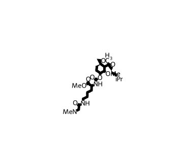 CNCC(=O)NCCCCC(NC(=O)OC1CC[C@]2(CO2)C(C2(C)O[C@@H]2CCC(C)C)C1OC)C(=O)OC